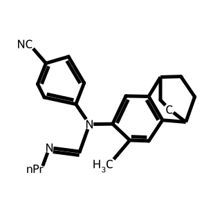 CCC/N=C/N(c1ccc(C#N)cc1)c1cc2c(cc1C)C1CCC2CC1